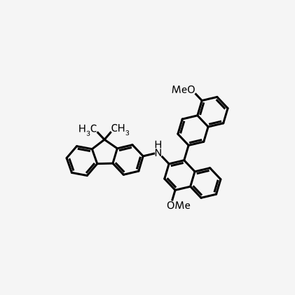 COc1cccc2cc(-c3c(Nc4ccc5c(c4)C(C)(C)c4ccccc4-5)cc(OC)c4ccccc34)ccc12